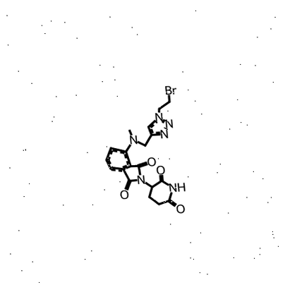 CN(Cc1cn(CCBr)nn1)c1cccc2c1C(=O)N(C1CCC(=O)NC1=O)C2=O